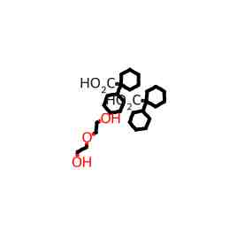 O=C(O)C1(C2CCCCC2)CCCCC1.O=C(O)C1(C2CCCCC2)CCCCC1.OCCOCCO